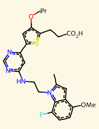 COc1ccc(F)c2c1cc(C)n2CCNc1cc(-c2cc(OC(C)C)c(CCC(=O)O)s2)ncn1